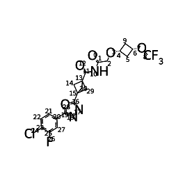 O=C(CO[C@H]1C[C@@H](OC(F)(F)F)C1)NC(=O)C12CC(c3nnc(-c4ccc(Cl)c(F)c4)o3)(C1)C2